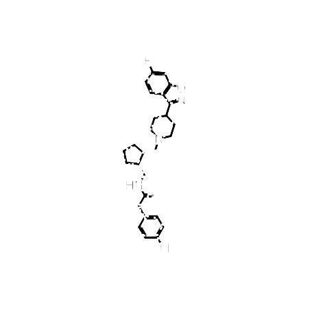 O=C(Cc1ccc(Cl)cc1)NC[C@H]1CCC[C@@H]1CN1CCC(c2noc3cc(F)ccc23)CC1